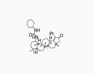 CC(C)C1=C2[C@H]3CC[C@@H]4[C@@]5(C)C(NC(=O)NC6CCCCC6)CCC(C)(C)[C@@H]5CC[C@@]4(C)[C@]3(C)CC[C@@]2(C)CC1=O